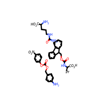 CC(C)C(NC(=O)OCC1c2ccccc2-c2ccccc21)C(=O)O.NC(=O)NCCCC(N)C(=O)O.Nc1ccc(COC(=O)Oc2ccc([N+](=O)[O-])cc2)cc1